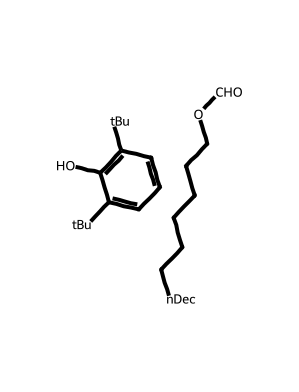 CC(C)(C)c1cccc(C(C)(C)C)c1O.CCCCCCCCCCCCCCCCOC=O